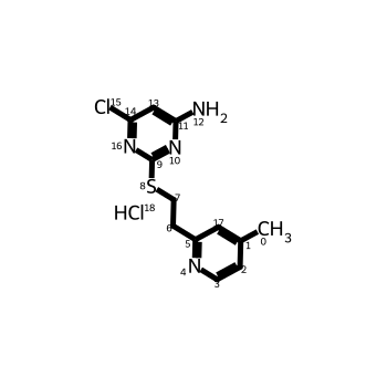 Cc1ccnc(CCSc2nc(N)cc(Cl)n2)c1.Cl